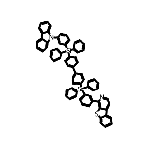 c1ccc([Si](c2ccccc2)(c2ccc(-c3ccc([Si](c4ccccc4)(c4ccccc4)c4cccc(-n5c6ccccc6c6ccccc65)c4)cc3)cc2)c2cccc(-c3nccc4c3sc3ccccc34)c2)cc1